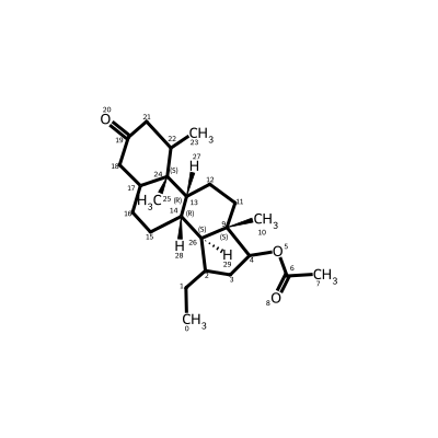 CCC1CC(OC(C)=O)[C@@]2(C)CC[C@@H]3[C@@H](CCC4CC(=O)CC(C)[C@@]43C)[C@H]12